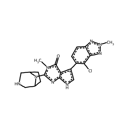 Cn1nc2ccc(-c3c[nH]c4nc(N5C6CCC5CNC6)n(C)c(=O)c34)c(Cl)c2n1